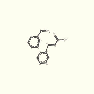 C=Cc1ccccc1.O=C(O)/C=C/c1ccccc1